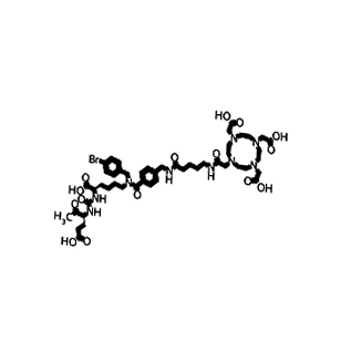 CC(=O)[C@@H](CCC(=O)O)NC(=O)N[C@H](CCCCN(Cc1ccc(Br)cc1)C(=O)c1ccc(CNC(=O)CCCCNC(=O)CN2CCN(CC(=O)O)CCN(CC(=O)O)CCN(CC(=O)O)CC2)cc1)C(=O)O